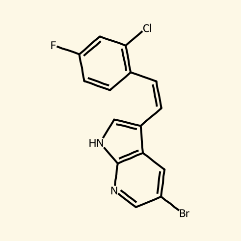 Fc1ccc(/C=C\c2c[nH]c3ncc(Br)cc23)c(Cl)c1